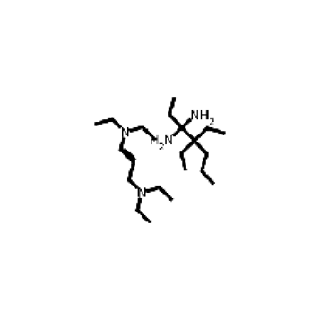 CCCC(CC)(CC)C(N)(N)CC.CCN(C=CCN(CC)CC)CC